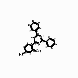 Oc1cc(S)ccc1-c1nc(-c2ccccc2)nc(-c2ccccc2)n1